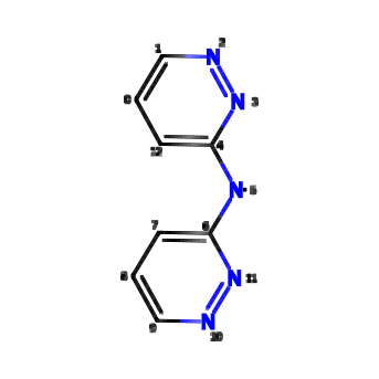 c1cnnc([N]c2cccnn2)c1